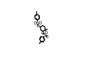 Cc1ccc(S(=O)(=O)OC2CCC(C)(OS(=O)(=O)c3ccc(C)cc3)CC2)cc1